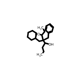 CCCC(O)C(Cc1ccccc1)(CC1CCCCC1)C(O)CC